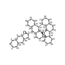 c1ccc2cc3oc(-c4c5ccccc5c(-c5cccc6ccc7c8ccccc8oc7c56)c5ccccc45)cc3cc2c1